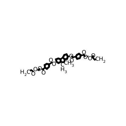 C=CC(=O)OCOC(=O)c1ccc(C(=O)Oc2ccc3c(c2)C(C)(C)c2cc(OC(=O)c4ccc(C(=O)OCOC(=O)C=C)cc4)ccc2-3)cc1